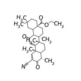 CCOC(=O)[C@]12CCC(C)(C)CC1C1C(=O)C=C3[C@@]4(C)C=C(C#N)C(=O)[C@@H](C)C4CC[C@@]3(C)[C@]1(C)CC2